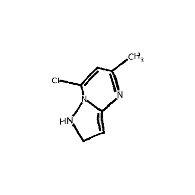 CC1=NC2=CCNN2C(Cl)=C1